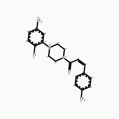 O=C(/C=C\c1ccc(C(F)(F)F)cc1)N1CCN(c2cc(C(F)(F)F)ccc2Cl)CC1